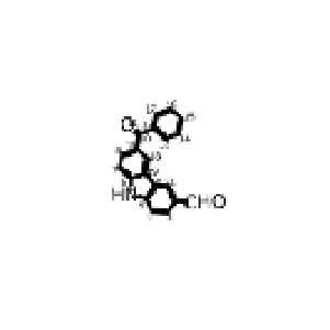 O=Cc1ccc2[nH]c3ccc(C(=O)c4ccccc4)cc3c2c1